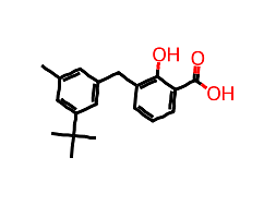 Cc1cc(Cc2cccc(C(=O)O)c2O)cc(C(C)(C)C)c1